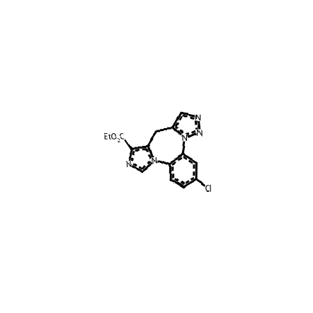 CCOC(=O)c1ncn2c1Cc1cnnn1-c1cc(Cl)ccc1-2